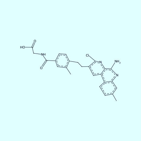 Cc1ccc2c(c1)nc(N)c1nc(Cl)c(CCc3ccc(C(=O)NCC(=O)O)cc3C)cc12